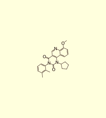 COc1cccc2c1ncc1c(=O)n(-c3cccc(C)c3C)c(=O)n(C3CCCC3)c12